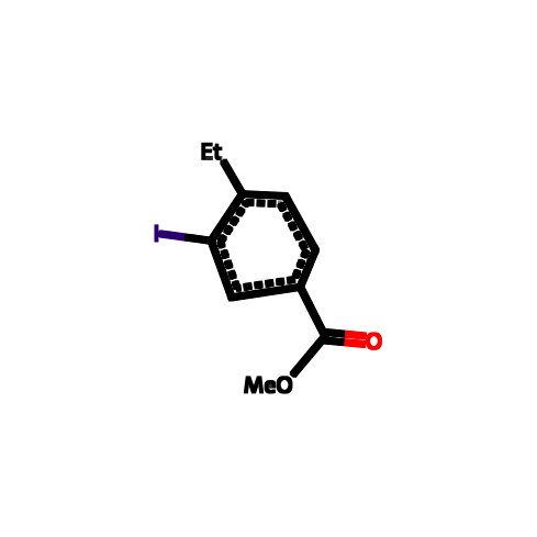 CCc1ccc(C(=O)OC)cc1I